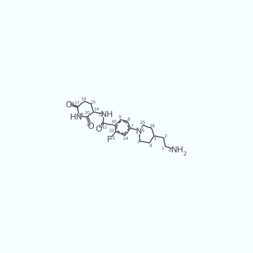 NCCC1CCN(c2ccc(C(=O)NC3CCC(=O)NC3=O)c(F)c2)CC1